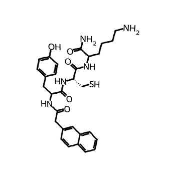 NCCCCC(NC(=O)[C@H](CS)NC(=O)C(Cc1ccc(O)cc1)NC(=O)Cc1ccc2ccccc2c1)C(N)=O